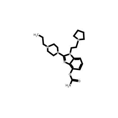 CCCN1CCN(c2nc3c(OC(N)=O)cccc3n2CCN2CCCC2)CC1